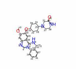 COc1cc2ncnc(NC(C)c3ccccc3)c2cc1OC1CCC(N2CCNC(=O)C2)CC1